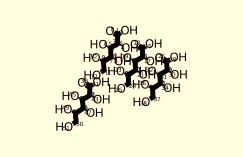 O=C(O)[C@H](O)[C@@H](O)[C@H](O)[C@H](O)CO.O=C(O)[C@H](O)[C@@H](O)[C@H](O)[C@H](O)CO.O=C(O)[C@H](O)[C@@H](O)[C@H](O)[C@H](O)CO.O=C(O)[C@H](O)[C@@H](O)[C@H](O)[C@H](O)CO